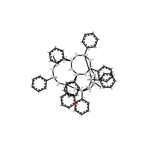 C[SiH]1O[SiH](c2ccccc2)O[Si]2(c3ccccc3)O[Si]3(c4ccccc4)O[SiH](C)O[Si]4(c5ccccc5)O[Si](c5ccccc5)(O[SiH](c5ccccc5)O3)O[Si](c3ccccc3)(O1)O[Si](c1ccccc1)(O4)O2